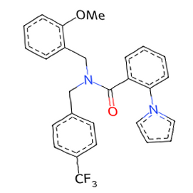 COc1ccccc1CN(Cc1ccc(C(F)(F)F)cc1)C(=O)c1ccccc1-n1cccc1